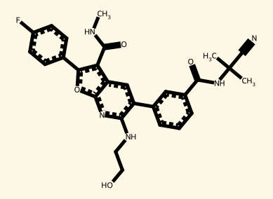 CNC(=O)c1c(-c2ccc(F)cc2)oc2nc(NCCO)c(-c3cccc(C(=O)NC(C)(C)C#N)c3)cc12